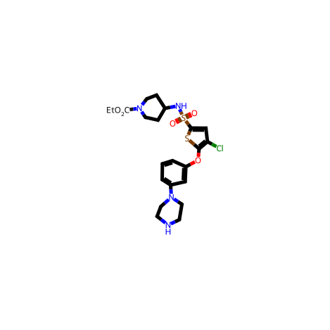 CCOC(=O)N1CCC(NS(=O)(=O)c2cc(Cl)c(Oc3cccc(N4CCNCC4)c3)s2)CC1